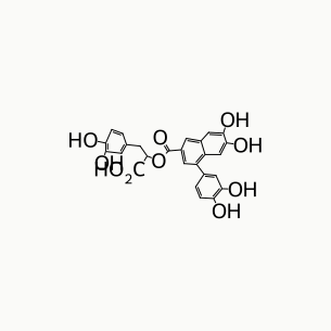 O=C(OC(Cc1ccc(O)c(O)c1)C(=O)O)c1cc(-c2ccc(O)c(O)c2)c2cc(O)c(O)cc2c1